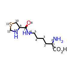 NC(CCCCNC(=O)C1CSCN1)C(=O)O